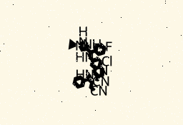 N#CCCC(Nc1c(C#N)cnc2c(Cl)cc(NC(C3=CN(C4CC4)NN3)c3ccc(F)cc3)cc12)c1ccccc1